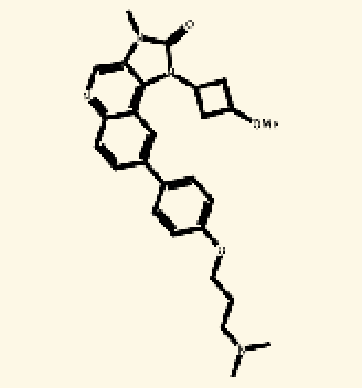 COC1CC(n2c(=O)n(C)c3cnc4ccc(-c5ccc(OCCCN(C)C)cc5)cc4c32)C1